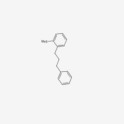 CSc1ccccc1[CH]CCc1ccccc1